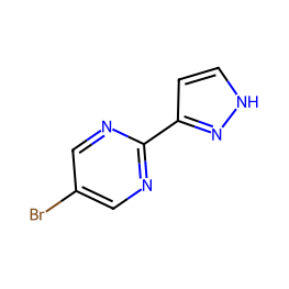 Brc1cnc(-c2cc[nH]n2)nc1